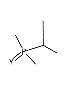 CC(C)[P](C)(C)=[Y]